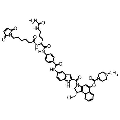 CN1CCN(C(=O)Oc2cc3c(c4ccccc24)[C@H](CCl)CN3C(=O)c2cc3cc(NC(=O)c4ccc(NC(=O)[C@H](CCCNC(N)=O)NC(=O)CCCCCN5C(=O)C=CC5=O)cc4)ccc3[nH]2)CC1